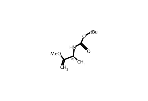 C=C(OC)[C@H](C)NC(=O)OC(C)(C)C